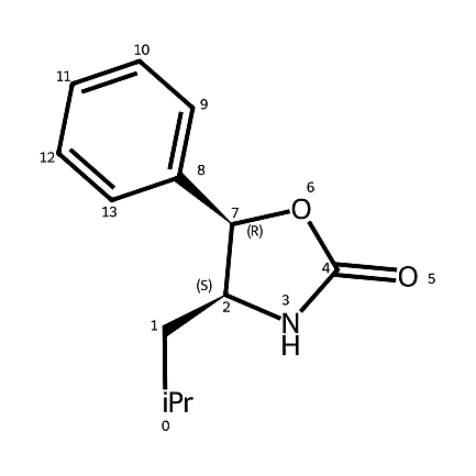 CC(C)C[C@@H]1NC(=O)O[C@@H]1c1ccccc1